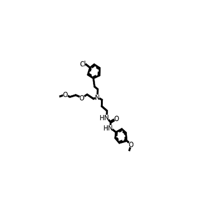 COCCOCCN(CCCNC(=O)Nc1ccc(OC)cc1)CCc1cccc(Cl)c1